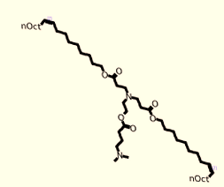 CCCCCCCC/C=C\CCCCCCCCOC(=O)CCN(CCOC(=O)CCCN(C)C)CCC(=O)OCCCCCCCC/C=C\CCCCCCCC